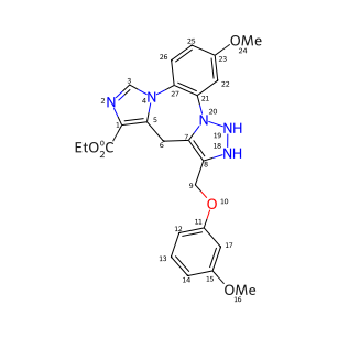 CCOC(=O)c1ncn2c1CC1=C(COc3cccc(OC)c3)NNN1c1cc(OC)ccc1-2